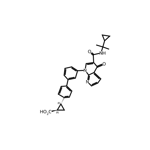 CC(C)(NC(=O)c1cn(-c2cccc(-c3ccc([C@@H]4C[C@H]4C(=O)O)cc3)c2)c2ncccc2c1=O)C1CC1